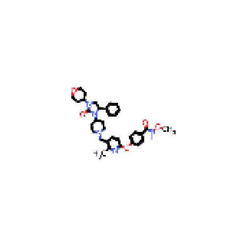 CONC(=O)c1ccc(Oc2ccc(CN3CCC(N4C(=O)N(C5CCOCC5)CC4c4ccccc4)CC3)c(C)n2)cc1